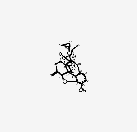 C=C1CC[C@@]2(OCCC)[C@H]3Cc4ccc(O)c5c4C2(CC[N+]3([O-])CC2CC2)C1O5